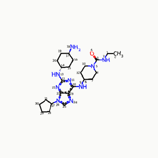 CCNC(=O)N1CCC(Nc2nc(N[C@H]3CC[C@H](N)CC3)nc3c2ncn3C2CCCC2)CC1